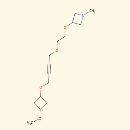 COC1CC(OCC#CCOCCOC2CN(C)C2)C1